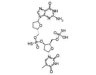 Cc1cn([C@@H]2C[C@@H](OP(=O)(S)OC[C@@H]3CCC(n4cnc5c(=O)[nH]c(N)nc54)O3)[C@@H](COP(=O)(O)S)O2)c(=O)[nH]c1=O